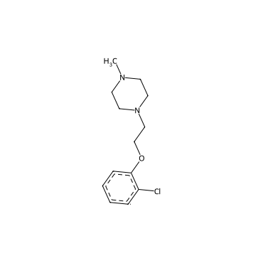 CN1CCN(CCOc2ccc[c]c2Cl)CC1